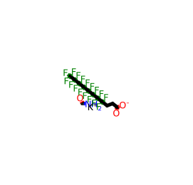 NC=O.O=C([O-])CCC(F)(F)C(F)(F)C(F)(F)C(F)(F)C(F)(F)C(F)(F)C(F)(F)C(F)(F)F.[K+]